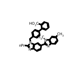 CCCc1nc2ccc(-c3nc4ccc(C)cc4n3C)cc2n1Cc1ccc(-c2ccccc2C(=O)O)cc1